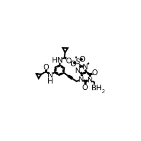 BCn1c(=O)c2c(nc(S(C)(=O)=O)n2C)n(CC#Cc2cc(NC(=O)C3CC3)cc(NC(=O)C3CC3)c2)c1=O